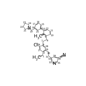 C=Cc1cc(Cl)c(CCc2cccc(-c3cccc(CN4CCCC4)c3)c2C)cc1CCc1cncc(C#N)c1